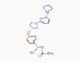 CC(=O)N[C@@H](C)c1ccc(O[C@@H]2CCN(c3cccc(N4CCC4)n3)C2)cc1